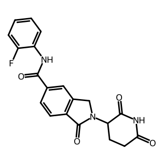 O=C1CCC(N2Cc3cc(C(=O)Nc4ccccc4F)ccc3C2=O)C(=O)N1